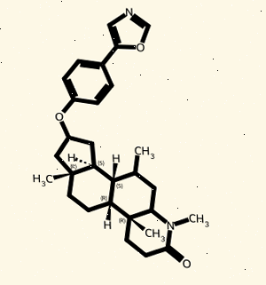 CC1CC2N(C)C(=O)CC[C@]2(C)[C@@H]2CC[C@]3(C)CC(Oc4ccc(-c5cnco5)cc4)C[C@H]3[C@H]12